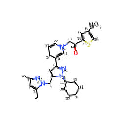 Cc1cc(C)n(Cc2cc(C3=CN(CC(=O)c4cc([N+](=O)[O-])cs4)C=CC3)nn2C2CCCCC2)n1